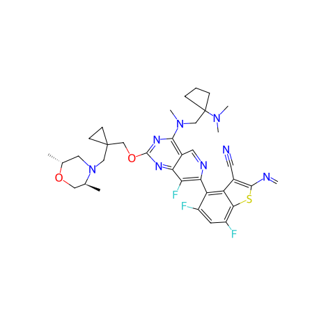 C=Nc1sc2c(F)cc(F)c(-c3ncc4c(N(C)CC5(N(C)C)CCC5)nc(OCC5(CN6C[C@@H](C)OC[C@@H]6C)CC5)nc4c3F)c2c1C#N